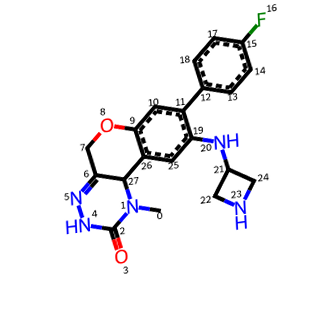 CN1C(=O)NN=C2COc3cc(-c4ccc(F)cc4)c(NC4CNC4)cc3C21